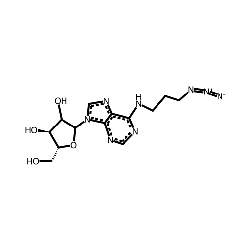 [N-]=[N+]=NCCCNc1ncnc2c1ncn2C1O[C@H](CO)[C@@H](O)C1O